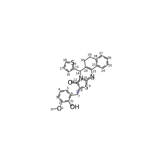 COc1cccc(/C=c2/sc3n(c2=O)C(c2cccs2)C2=C(N=3)c3ccccc3CC2)c1O